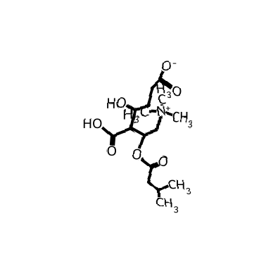 CC(C)CC(=O)OC(C[N+](C)(C)C)C(C(=O)O)C(O)CCC(=O)[O-]